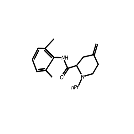 C=C1CCN(CCC)C(C(=O)Nc2c(C)cccc2C)C1